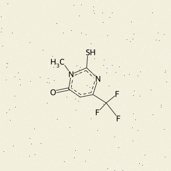 Cn1c(S)nc(C(F)(F)F)cc1=O